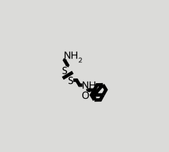 CC(C)(SCCN)SCCNC(=O)C12CC3CC(CC(C3)C1)C2